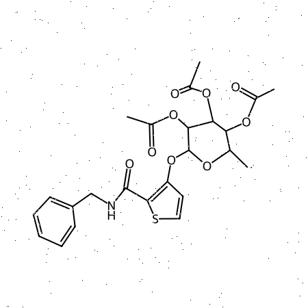 [CH2]C1OC(Oc2ccsc2C(=O)NCc2ccccc2)C(OC(C)=O)C(OC(C)=O)C1OC(C)=O